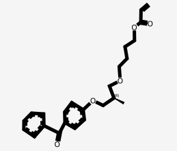 C=CC(=O)OCCCCOC[C@@H](C)COc1ccc(C(=O)c2ccccc2)cc1